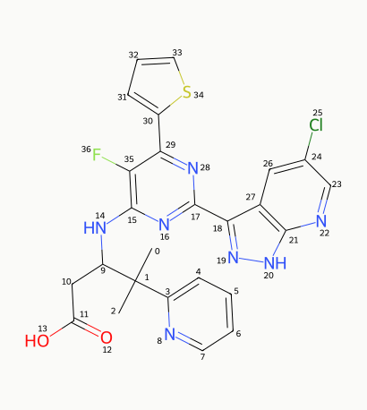 CC(C)(c1ccccn1)C(CC(=O)O)Nc1nc(-c2n[nH]c3ncc(Cl)cc23)nc(-c2cccs2)c1F